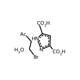 CC(=O)CCBr.O.O=C(O)c1cc(C(=O)O)[nH]n1